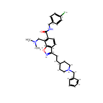 CN(C)Cc1c(C(=O)NCc2ccc(F)cc2)ccc2c(CCC3CCN(Cc4ccccc4)CC3)noc12